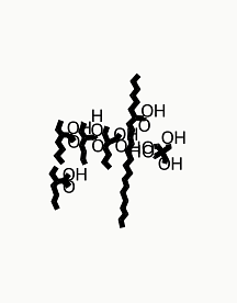 CCCCC(CC)C(=O)O.CCCCC(CC)C(=O)O.CCCCC(CC)C(=O)O.CCCCC(CC)C(=O)O.CCCCCCCCCCCCCCCCC(CCCCCC)C(=O)O.OCC(CO)(CO)CO